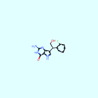 Nc1nc2c(C(CO)c3ccccc3F)c[nH]c2c(=O)[nH]1